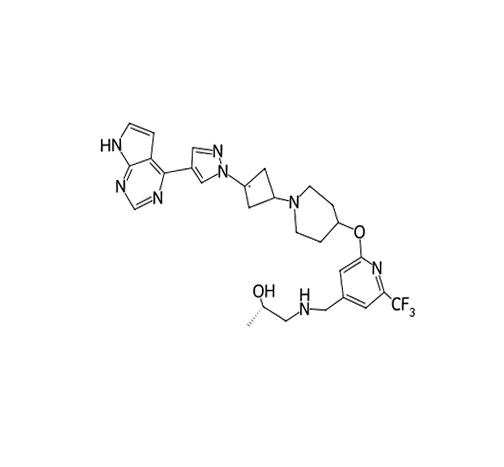 C[C@H](O)CNCc1cc(OC2CCN(C3C[C](n4cc(-c5ncnc6[nH]ccc56)cn4)C3)CC2)nc(C(F)(F)F)c1